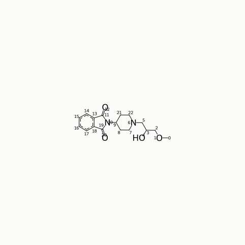 COCC(O)CN1CCC(N2C(=O)c3ccccc3C2=O)CC1